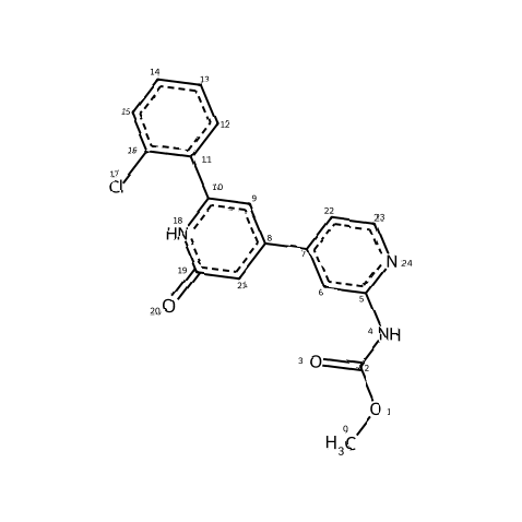 COC(=O)Nc1cc(-c2cc(-c3ccccc3Cl)[nH]c(=O)c2)ccn1